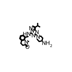 CC(C)c1cnn2c(NCc3cccc4c3N(C)C(=O)CC4)nc(N3CCC(N)CC3)nc12